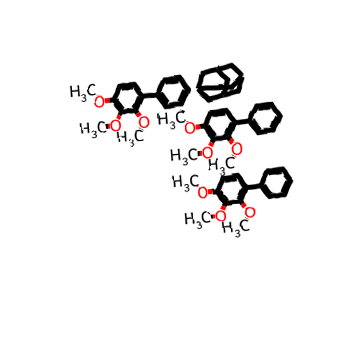 C1C2CC3CC1CC(C2)C3.COc1ccc(-c2ccccc2)c(OC)c1OC.COc1ccc(-c2ccccc2)c(OC)c1OC.COc1ccc(-c2ccccc2)c(OC)c1OC